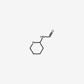 O=CNC1CCCC[N]1